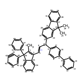 CC1=C(/C=C/N(c2ccc(-c3ccccc3)cc2)c2ccc3c(c2)C(C)(C)c2ccccc2-3)c2ccccc2C1(c1c#cccc1)c1ccccc1